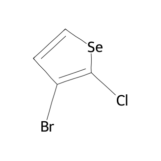 Clc1[se]ccc1Br